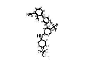 CS(=O)(=O)N1CCC(Nc2ncc(C(F)(F)F)c(-c3cn(-c4cccc(C#N)c4Cl)cn3)n2)CC1